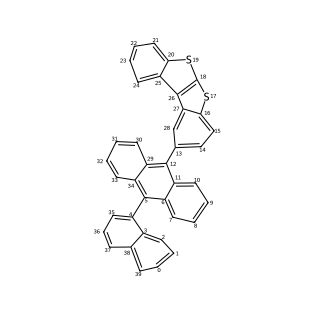 c1ccc2c(-c3c4ccccc4c(-c4ccc5sc6sc7ccccc7c6c5c4)c4ccccc34)cccc2c1